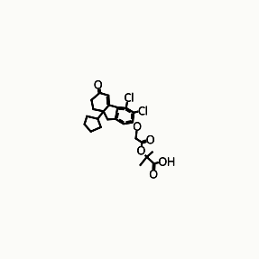 CC(C)(OC(=O)COc1cc2c(c(Cl)c1Cl)C1=CC(=O)CCC1(C1CCCC1)C2)C(=O)O